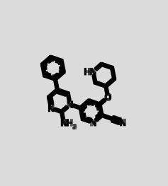 N#Cc1ncc(N2C=C(c3ccccc3)C=NC2N)cc1OC1CCCNC1